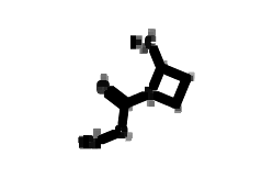 CC1[CH]CN1C(=O)OC(C)(C)C